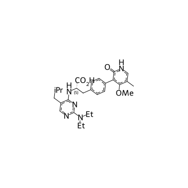 CCN(CC)c1ncc(CC(C)C)c(N[C@@H](Cc2ccc(-c3c(OC)c(C)c[nH]c3=O)cc2)C(=O)O)n1